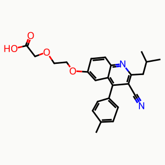 Cc1ccc(-c2c(C#N)c(CC(C)C)nc3ccc(OCCOCC(=O)O)cc23)cc1